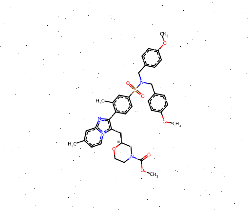 COC(=O)N1CCO[C@@H](Cc2c(-c3ccc(S(=O)(=O)N(Cc4ccc(OC)cc4)Cc4ccc(OC)cc4)cc3C)nc3cc(C)ccn23)C1